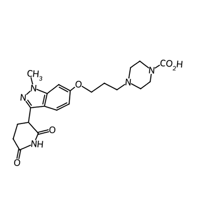 Cn1nc(C2CCC(=O)NC2=O)c2ccc(OCCCN3CCN(C(=O)O)CC3)cc21